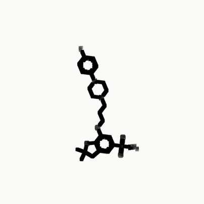 CC1(C)Cc2cc(S(N)(=O)=O)cc(OCCCN3CCN(c4ccc(F)cc4)CC3)c2O1